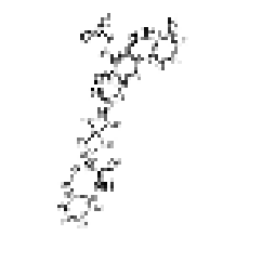 C[S+]([O-])CCn1c(=O)c(-c2cccc(F)c2Cl)cn(CC(=O)N2CC3(CC(N4CCc5ccccc5NC4=O)C3)C2)c1=O